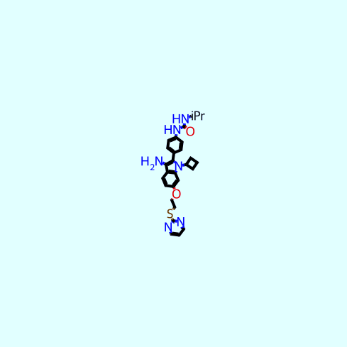 CC(C)NC(=O)Nc1ccc(-c2c(N)c3ccc(OCCSc4ncccn4)cc3n2C2CCC2)cc1